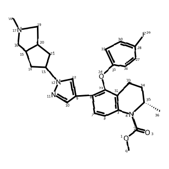 COC(=O)N1c2ccc(-c3cnn(C4CC5CN(C)CC5C4)c3)c(Oc3ccc(F)cc3)c2CC[C@@H]1C